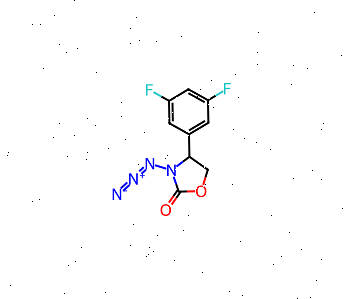 [N-]=[N+]=NN1C(=O)OCC1c1cc(F)cc(F)c1